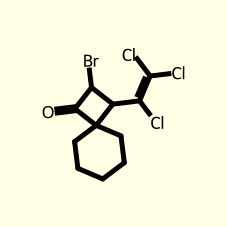 O=C1C(Br)C(C(Cl)=C(Cl)Cl)C12CCCCC2